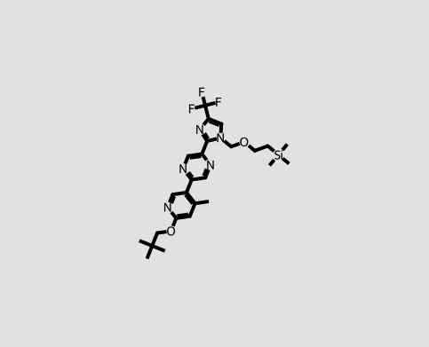 Cc1cc(OCC(C)(C)C)ncc1-c1cnc(-c2nc(C(F)(F)F)cn2COCC[Si](C)(C)C)cn1